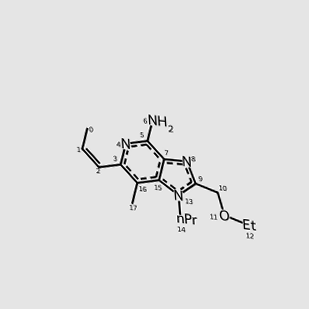 C/C=C\c1nc(N)c2nc(COCC)n(CCC)c2c1C